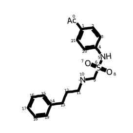 CC(=O)c1ccc(NS(=O)(=O)C[N]CCCc2ccccc2)cc1